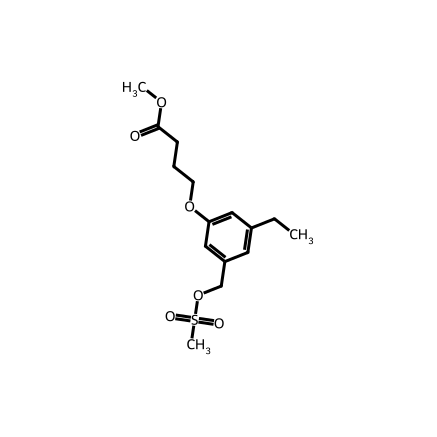 CCc1cc(COS(C)(=O)=O)cc(OCCCC(=O)OC)c1